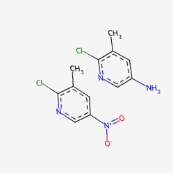 Cc1cc(N)cnc1Cl.Cc1cc([N+](=O)[O-])cnc1Cl